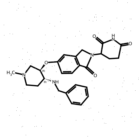 CN1CC[C@@H](NCc2ccccc2)[C@H](Oc2ccc3c(c2)CN(C2CCC(=O)NC2=O)C3=O)C1